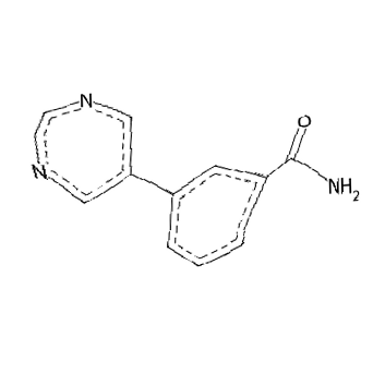 NC(=O)c1cccc(-c2cncnc2)c1